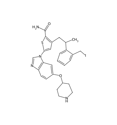 CC(Cc1cc(-n2cnc3ccc(OC4CCNCC4)cc32)sc1C(N)=O)c1ccccc1CI